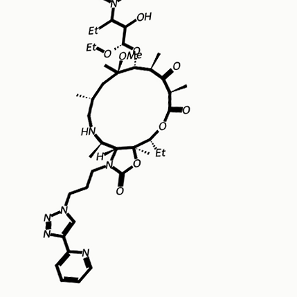 CCO[C@@H](O[C@@H]1[C@@H](C)C(=O)[C@@H](C)C(=O)O[C@H](CC)[C@@]2(C)OC(=O)N(CCCn3cc(-c4ccccn4)nn3)[C@@H]2[C@@H](C)NC[C@H](C)C[C@@]1(C)OC)C(O)C(CC)N(C)C